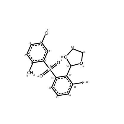 Cc1ccc(Cl)cc1S(=O)(=O)c1cccc(F)c1C1OCCO1